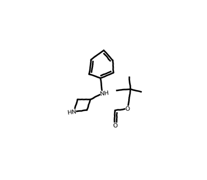 CC(C)(C)OC=O.c1ccc(NC2CNC2)cc1